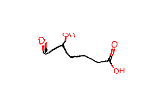 O=CC(O)CCCC(=O)O